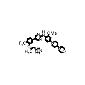 COc1cc(N2CCC(N3CCOCC3)CC2)ccc1Nc1ncc(-c2ccc(C(F)(F)F)c(OC(C)Cn3cnnn3)c2)cn1